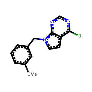 COc1cccc(Cn2ccc3c(Cl)ncnc32)c1